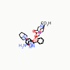 C=CCOC(=O)Oc1ccccc1-c1cc(N2CC3CCC(C2)N3c2ccnc(OCCN3CCN(C(=O)O)CC3C)c2)c(N)nn1